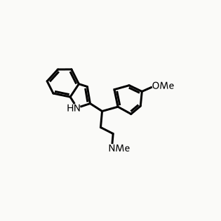 CNCCC(c1ccc(OC)cc1)c1cc2ccccc2[nH]1